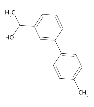 Cc1ccc(-c2cccc(C(C)O)c2)cc1